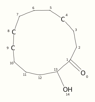 O=C1CCCCCCCCCCCC1O